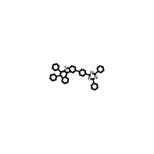 c1ccc(-c2nc(-c3ccccc3)nc(-c3ccc(-c4ccc5sc6c(-c7ccccc7)c(-c7ccccc7)c7ccccc7c6c5c4)cc3)n2)cc1